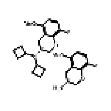 COc1ccc(F)c2c1C[C@@H](N(C1CCC1)C1CCC1)CO2.COc1ccc(F)c2c1C[C@@H](N)CO2